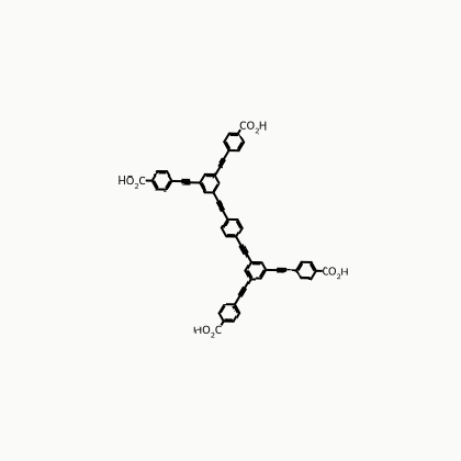 O=C(O)c1ccc(C#Cc2cc(C#Cc3ccc(C#Cc4cc(C#Cc5ccc(C(=O)O)cc5)cc(C#Cc5ccc(C(=O)O)cc5)c4)cc3)cc(C#Cc3ccc(C(=O)O)cc3)c2)cc1